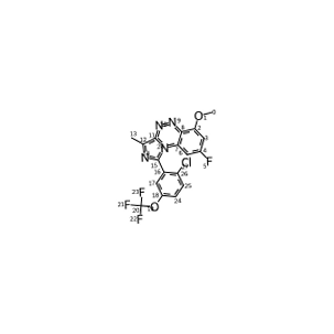 COc1cc(F)cc2c1nnc1c(C)nc(-c3cc(OC(F)(F)F)ccc3Cl)n12